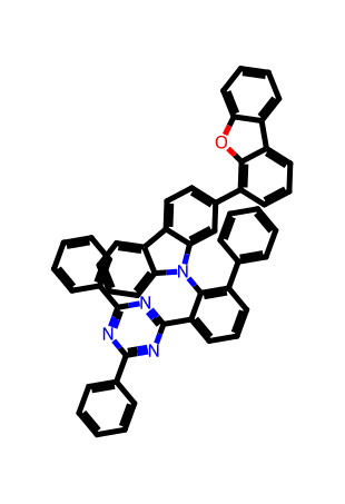 c1ccc(-c2nc(-c3ccccc3)nc(-c3cccc(-c4ccccc4)c3-n3c4ccccc4c4ccc(-c5cccc6c5oc5ccccc56)cc43)n2)cc1